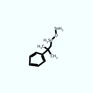 CC(C)([CH2][SnH2][O][SnH3])c1ccccc1